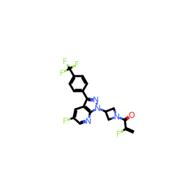 C=C(F)C(=O)N1CC(n2nc(-c3ccc(C(F)(F)F)cc3)c3cc(F)cnc32)C1